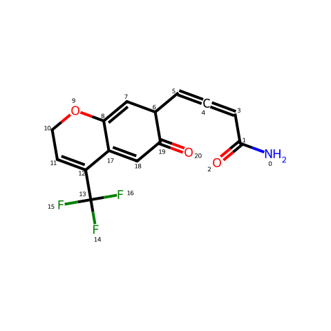 NC(=O)C=C=CC1C=C2OCC=C(C(F)(F)F)C2=CC1=O